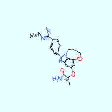 C=N/C(=N\NC)c1ccc(-c2nc3cc(O[C@@H](C)C(N)=O)cc4c3n2CCCO4)cc1